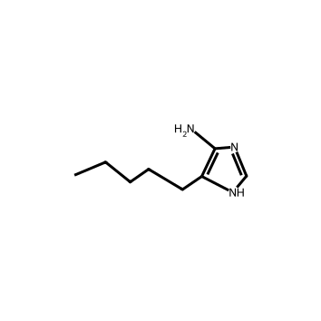 CCCCCc1[nH]cnc1N